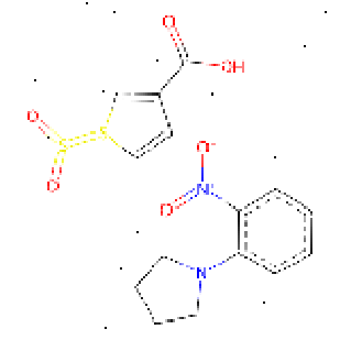 O=C(O)C1=CS(=S(=O)=O)C=C1.O=[N+]([O-])c1ccccc1N1CCCC1